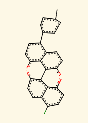 CCc1ccc(-c2ccc3oc4ccc5c(Br)ccc6oc7ccc2c3c7-c4c65)cc1